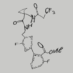 COC(=O)c1c(F)cccc1-c1ccc(CNC(=O)C2(NC(=O)CC(F)(F)F)CC2)c(F)c1